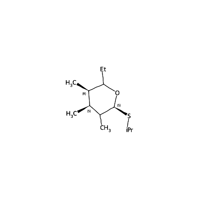 CCC1O[C@@H](SC(C)C)C(C)[C@@H](C)[C@H]1C